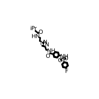 CC(C)CC(=O)NCCn1cc(CNC(=O)c2ccc(NS(=O)(=O)c3ccc(F)cc3)cc2)nn1